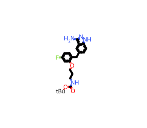 CC(C)(C)OC(=O)NCCCOc1cc(F)ccc1Cc1ccc2[nH]nc(N)c2c1